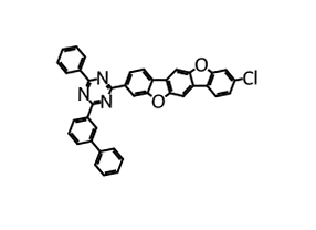 Clc1ccc2c(c1)oc1cc3c(cc12)oc1cc(-c2nc(-c4ccccc4)nc(-c4cccc(-c5ccccc5)c4)n2)ccc13